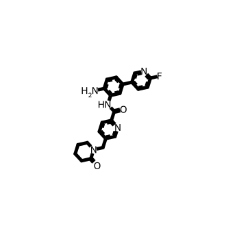 Nc1ccc(-c2ccc(F)nc2)cc1NC(=O)c1ccc(CN2CCCCC2=O)cn1